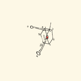 O=C1OC(=O)C2CC=C1CC2